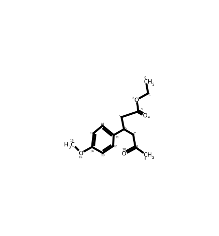 CCOC(=O)CC(CC(C)=O)c1ccc(OC)cc1